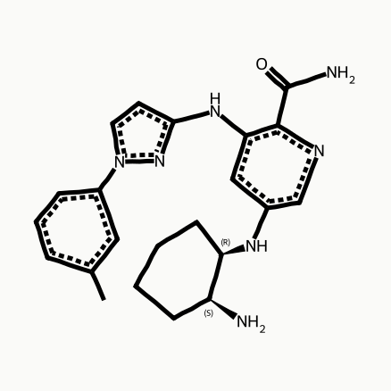 Cc1cccc(-n2ccc(Nc3cc(N[C@@H]4CCCC[C@@H]4N)cnc3C(N)=O)n2)c1